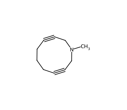 CN1CC#CCCCC#CC1